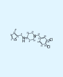 Cc1ccsc1CNC1CCN(Cc2ccc(Cl)c(Cl)c2)CC1